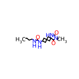 CCCCNC(=O)NC1CC2(C1)CC1(C2)NC(=O)N(C)C1=O